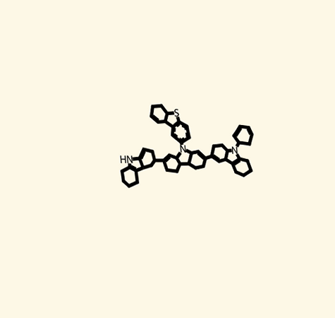 C1=CCC(N2C3=C(CCCC3)C3C=C(C4=CC5C(CC4)C4CCC(C6CC=C7NC8=C(CCCC8)C7C6)=CC4N5c4ccc5c(c4)C4C=CCCC4S5)CCC32)C=C1